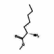 CCCCC[C@H](N)C(=O)OC